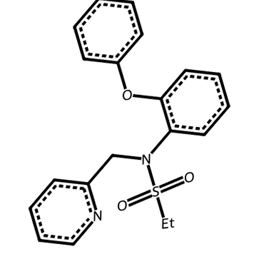 CCS(=O)(=O)N(Cc1ccccn1)c1ccccc1Oc1ccccc1